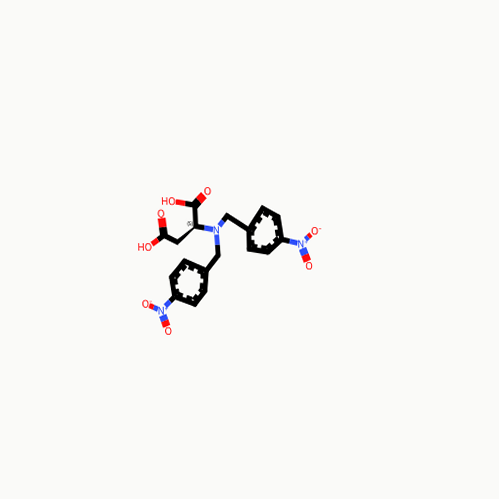 O=C(O)C[C@@H](C(=O)O)N(Cc1ccc([N+](=O)[O-])cc1)Cc1ccc([N+](=O)[O-])cc1